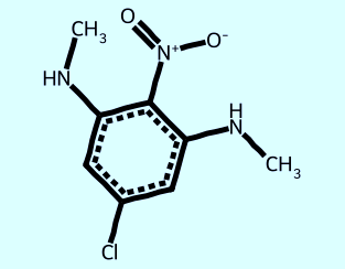 CNc1cc(Cl)cc(NC)c1[N+](=O)[O-]